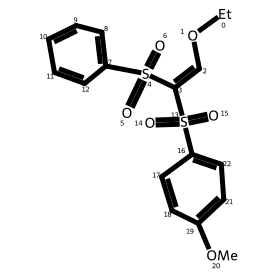 CCO/C=C(\S(=O)(=O)c1ccccc1)S(=O)(=O)c1ccc(OC)cc1